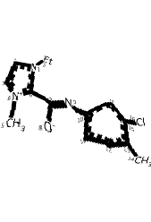 CCn1cc[n+](C)c1/C([O-])=N/c1ccc(C)c(Cl)c1